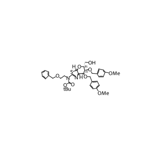 COc1ccc(CO[C@@H]2[C@H]3N=C(N(CCOCc4ccccc4)C(=O)OC(C)(C)C)S[C@H]3O[C@H](CO)[C@H]2OCc2ccc(OC)cc2)cc1